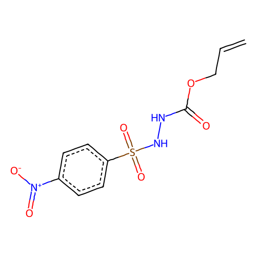 C=CCOC(=O)NNS(=O)(=O)c1ccc([N+](=O)[O-])cc1